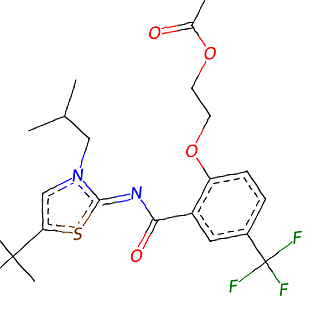 CC(=O)OCCOc1ccc(C(F)(F)F)cc1C(=O)N=c1sc(C(C)(C)C)cn1CC(C)C